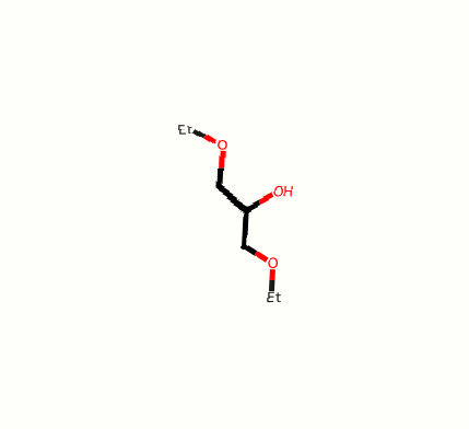 CCOC[C](O)COCC